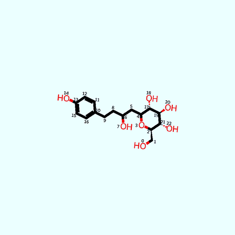 OC[C@H]1OC(CC(O)CCc2ccc(O)cc2)[C@H](O)[C@@H](O)[C@@H]1O